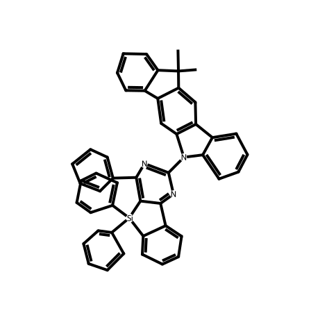 CC1(C)c2ccccc2-c2cc3c(cc21)c1ccccc1n3-c1nc(-c2ccccc2)c2c(n1)-c1ccccc1[Si]2(c1ccccc1)c1ccccc1